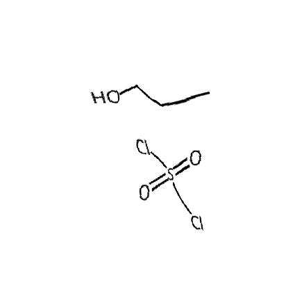 CCCO.O=S(=O)(Cl)Cl